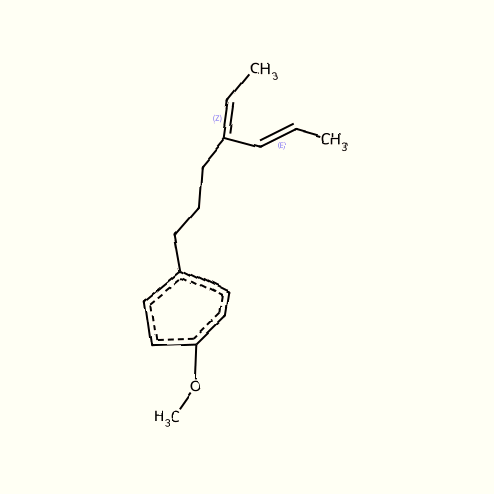 C/C=C(\C=C\C)CCCc1ccc(OC)cc1